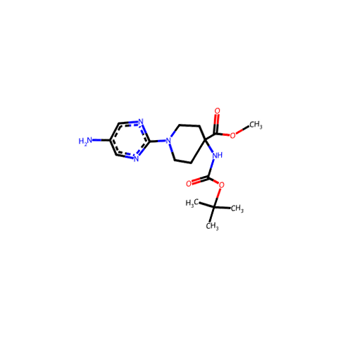 COC(=O)C1(NC(=O)OC(C)(C)C)CCN(c2ncc(N)cn2)CC1